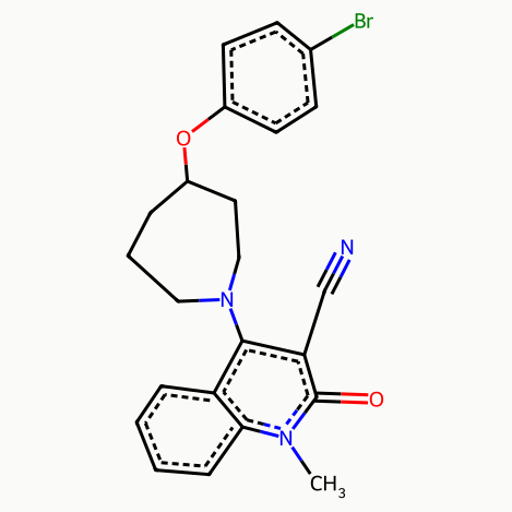 Cn1c(=O)c(C#N)c(N2CCCC(Oc3ccc(Br)cc3)CC2)c2ccccc21